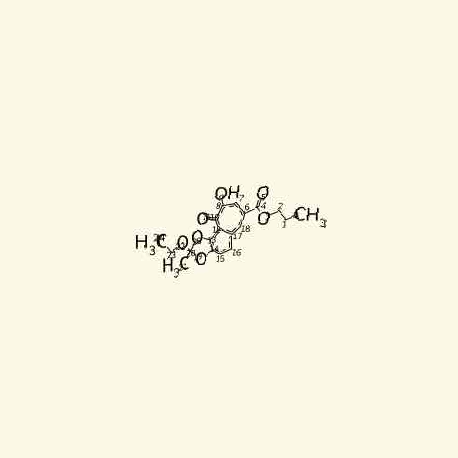 CCCOC(=O)c1cc(O)c(=O)c2c3c(ccc2c1)OC(C)(OCC)O3